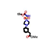 COC(=O)Cc1cccc(N2CCN(S(=O)(=O)NC(=O)OC(C)(C)C)CC2)c1